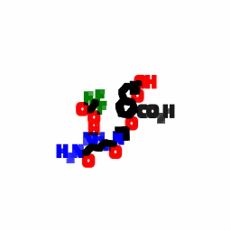 NC(=O)C(N)CCC(=O)N1CC(Oc2ccc3c(c2C(=O)O)OB(O)CC3)C1.O=C(O)C(F)(F)F